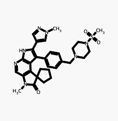 CN1C(=O)C2(CCCC2)c2c1cnc1[nH]c(-c3cnn(C)c3)c(-c3ccc(CN4CCN(S(C)(=O)=O)CC4)cc3)c21